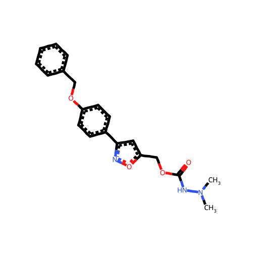 CN(C)NC(=O)OCc1cc(-c2ccc(OCc3ccccc3)cc2)no1